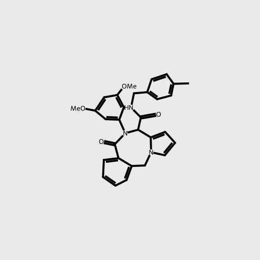 COc1cc(OC)cc(N2C(=O)c3ccccc3Cn3cccc3C2C(=O)NCc2ccc(C)cc2)c1